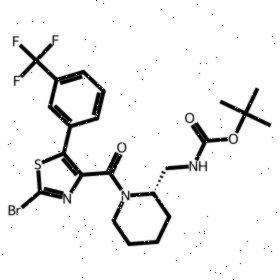 CC(C)(C)OC(=O)NC[C@@H]1CCCCN1C(=O)c1nc(Br)sc1-c1cccc(C(F)(F)F)c1